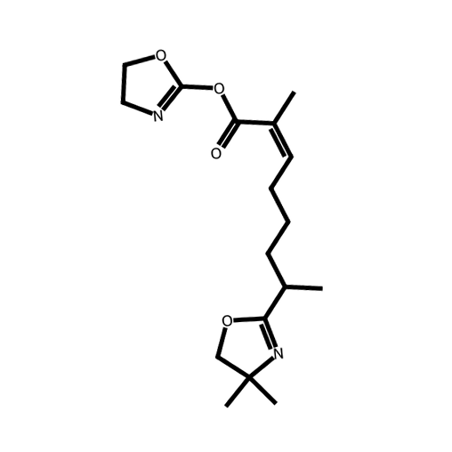 CC(=CCCCC(C)C1=NC(C)(C)CO1)C(=O)OC1=NCCO1